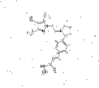 Cc1nn(CCN2CCCC2c2ccc(/C=C/C(=O)NO)cc2)c(C)c1Br